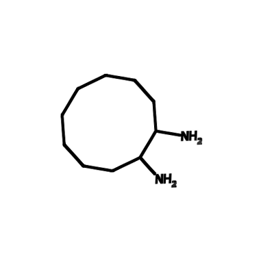 NC1CCCCCCCCC1N